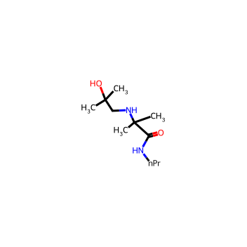 CCCNC(=O)C(C)(C)NCC(C)(C)O